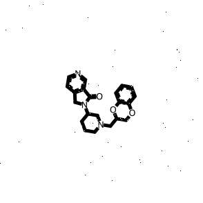 O=C1c2cnccc2CN1C1CCCN(CC2COc3ccccc3O2)C1